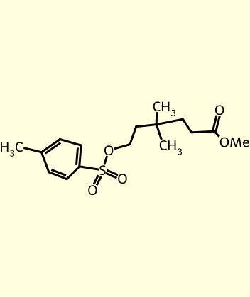 COC(=O)CCC(C)(C)CCOS(=O)(=O)c1ccc(C)cc1